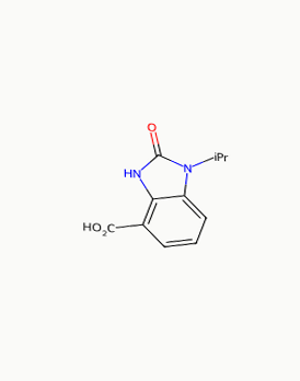 CC(C)n1c(=O)[nH]c2c(C(=O)O)cccc21